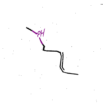 CC=CCPC